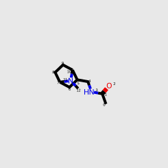 CC(=O)NCC1CC2CCC1N2C